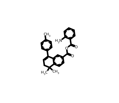 Cc1ccc(C2=CCC(C)(C)c3ccc(C(=O)OC(=O)c4ccccc4N)cc32)cc1